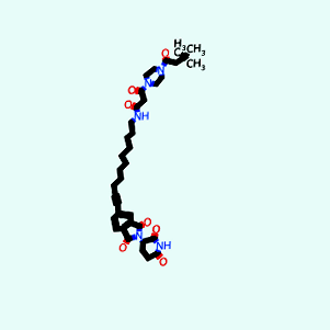 CC(C)(C)CC(=O)N1CCN(C(=O)CC(=O)NCCCCCCCCCC#Cc2ccc3c(c2)C(=O)N(C2CCC(=O)NC2=O)C3=O)CC1